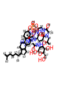 CC(=O)N[C@@H]1[C@@H](OC(C)CN(C(=O)CC[C@@H](NC(=O)[C@H](C)N)C(N)=O)[C@@H](C)C(=O)NCCOP(=O)(O)OC2CC[C@@]3(C)C(=CCC4C3CC[C@@]3(C)C4CC[C@@H]3[C@H](C)CCCC(C)C)C2)[C@H](O)[C@@H](CO)O[C@@H]1O